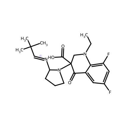 CCN1CC(C(=O)O)(N2CCCC2/N=C/C(C)(C)C)C(=O)c2cc(F)cc(F)c21